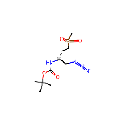 CC(C)(C)OC(=O)N[C@H](CCS(C)(=O)=O)CN=[N+]=[N-]